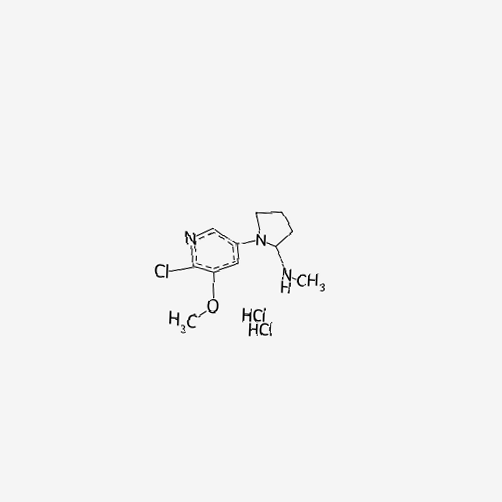 CNC1CCCN1c1cnc(Cl)c(OC)c1.Cl.Cl